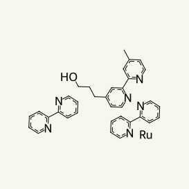 Cc1ccnc(-c2cc(CCCO)ccn2)c1.[Ru].c1ccc(-c2ccccn2)nc1.c1ccc(-c2ccccn2)nc1